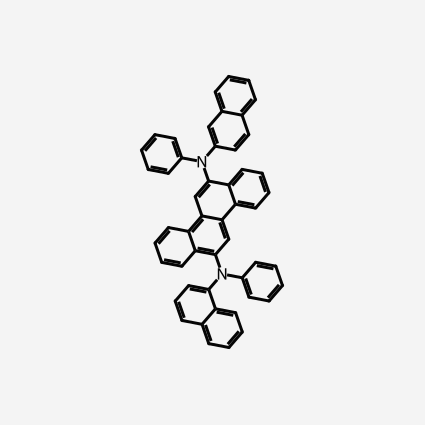 c1ccc(N(c2ccc3ccccc3c2)c2cc3c4ccccc4c(N(c4ccccc4)c4cccc5ccccc45)cc3c3ccccc23)cc1